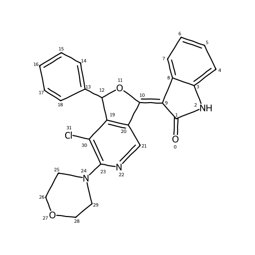 O=C1Nc2ccccc2C1=C1OC(c2ccccc2)c2c1cnc(N1CCOCC1)c2Cl